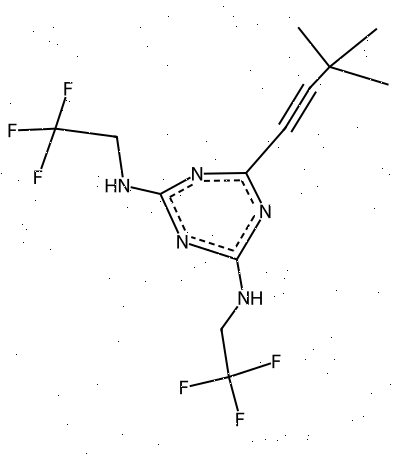 CC(C)(C)C#Cc1nc(NCC(F)(F)F)nc(NCC(F)(F)F)n1